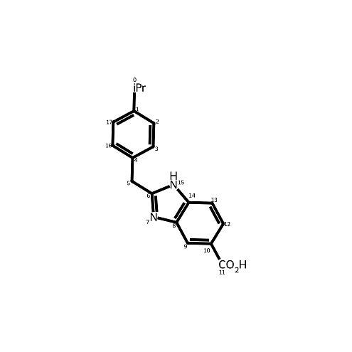 CC(C)c1ccc(Cc2nc3cc(C(=O)O)ccc3[nH]2)cc1